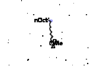 C1CC1.CCCCCCCC/C=C\CCCCCCCC(=O)OC